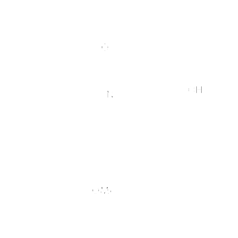 COc1cccc(Cn2ccc(O)cc2=O)c1